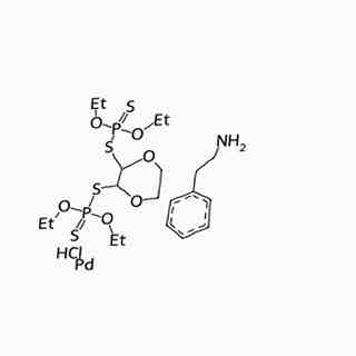 CCOP(=S)(OCC)SC1OCCOC1SP(=S)(OCC)OCC.Cl.NCCc1ccccc1.[Pd]